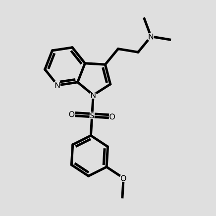 COc1cccc(S(=O)(=O)n2cc(CCN(C)C)c3cccnc32)c1